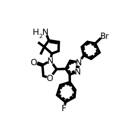 CC1(C)C(N)=CCC1N1C(=O)COC1c1cn(-c2ccc(Br)cc2)nc1-c1ccc(F)cc1